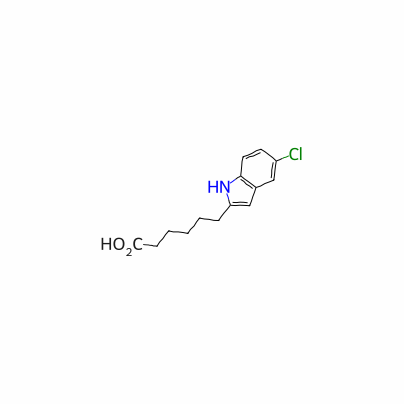 O=C(O)CCCCCc1cc2cc(Cl)ccc2[nH]1